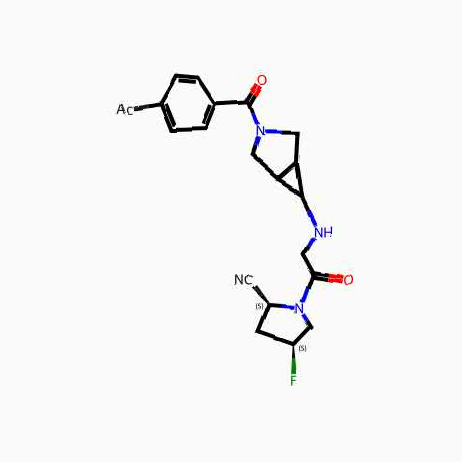 CC(=O)c1ccc(C(=O)N2CC3C(C2)C3NCC(=O)N2C[C@@H](F)C[C@H]2C#N)cc1